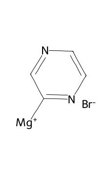 [Br-].[Mg+][c]1cnccn1